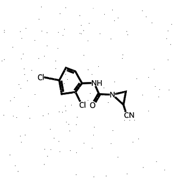 N#CC1CN1C(=O)Nc1ccc(Cl)cc1Cl